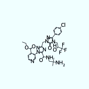 CCOC(=O)c1ccncc1-n1nc(Cn2nc(-c3ccc(Cl)cc3)n(C[C@H](O)C(F)(F)F)c2=O)nc1C(=O)NCC(C)(C)N